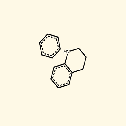 c1ccc2c(c1)CCCN2.c1ccccc1